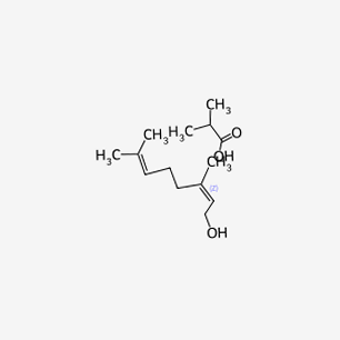 CC(C)=CCC/C(C)=C\CO.CC(C)C(=O)O